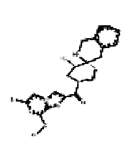 CC(C)Oc1nc(Br)cn2cc(C(=O)N3CC[C@]4(Cc5ccccc5CN4)[C@H](O)C3)nc12